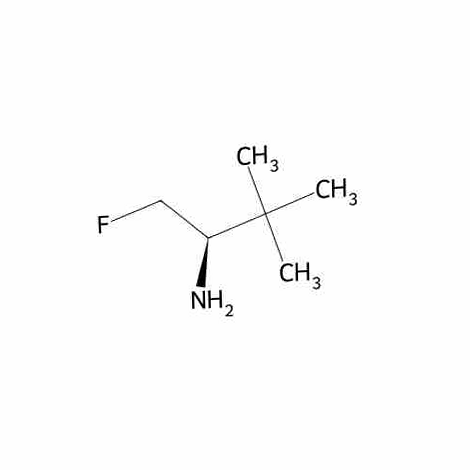 CC(C)(C)[C@@H](N)CF